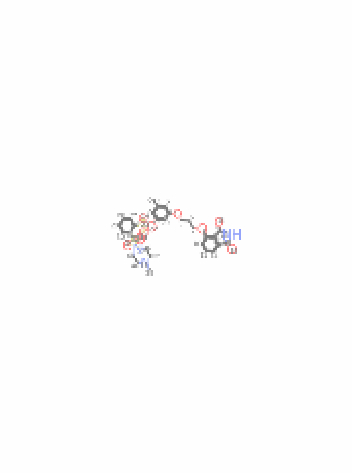 Cc1cc(OCCCOc2cccc3c2C(=O)NC3=O)cc(OS(=O)(=O)c2ccccc2S(=O)(=O)N2CCN(C)CC2)c1